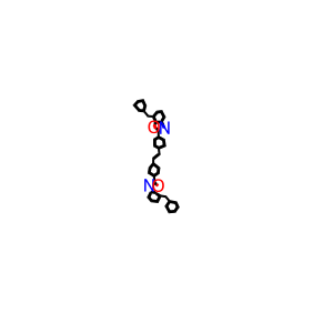 C(=Cc1ccc(-c2nc3cccc(Cc4ccccc4)c3o2)cc1)c1ccc(-c2nc3cccc(Cc4ccccc4)c3o2)cc1